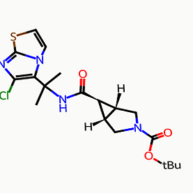 CC(C)(C)OC(=O)N1C[C@@H]2[C@H](C1)[C@H]2C(=O)NC(C)(C)c1c(Cl)nc2sccn12